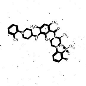 Cc1cc(C)c(C(=O)N2CCN(c3cccc(F)c3[S@](C)(=N)=O)C[C@@H]2C)c(C)c1NC1CCN(c2ccccc2C#N)CC1